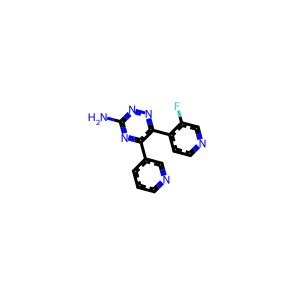 Nc1nnc(-c2ccncc2F)c(-c2cccnc2)n1